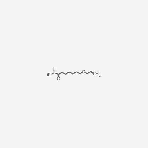 C=CCOCCCCCCC(=O)NC(C)C